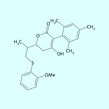 COc1ccccc1SCC(C)C1CC(O)=C(c2c(C)cc(C)cc2C)C(=O)O1